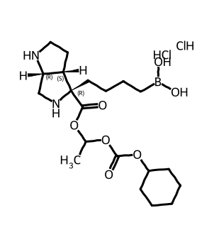 CC(OC(=O)OC1CCCCC1)OC(=O)[C@]1(CCCCB(O)O)NC[C@@H]2NCC[C@@H]21.Cl.Cl